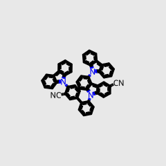 N#Cc1ccc2c(c1)c1c(-n3c4ccccc4c4ccccc43)cccc1n2-c1ccccc1-c1ccc(-n2c3ccccc3c3ccccc32)c(C#N)c1